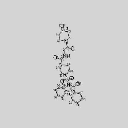 O=C(NCC(=O)N1CCC(C(F)(F)F)CC1)c1ccc(S(=O)(=O)N(C(=O)c2ccccc2)c2ccccc2)cc1